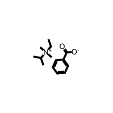 CC[N+](C)(C)C(C)C.O=C([O-])c1ccccc1